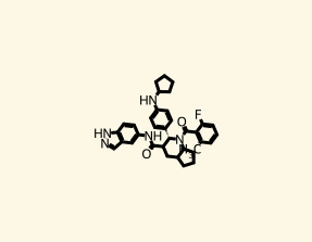 Cc1cccc(F)c1C(=O)N1C2CCCC2CC(C(=O)Nc2ccc3[nH]ncc3c2)[C@@H]1c1ccc(NC2CCCC2)cc1